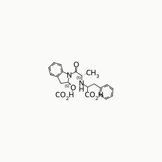 C[C@H](NC(Cc1ccccc1)C(=O)O)C(=O)N1c2ccccc2C[C@@H]1OC(=O)O